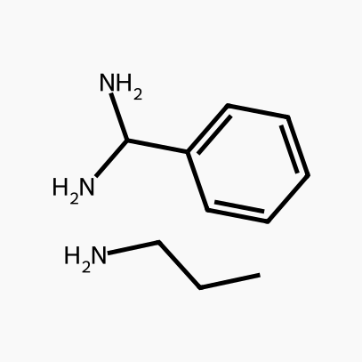 CCCN.NC(N)c1ccccc1